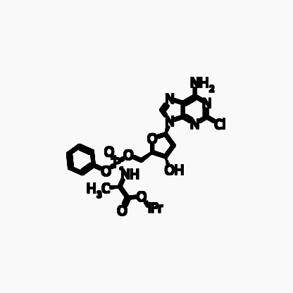 CC(C)OC(=O)[C@@H](C)NP(=O)(OC[C@H]1O[C@@H](n2cnc3c(N)nc(Cl)nc32)C[C@@H]1O)Oc1ccccc1